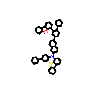 c1ccc(-c2ccc(N(c3ccc4cc(-c5ccc(-c6ccccc6)c(-c6cccc7c6oc6ccccc67)c5)ccc4c3)c3cccc4c3sc3ccccc34)cc2)cc1